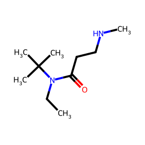 CCN(C(=O)CCNC)C(C)(C)C